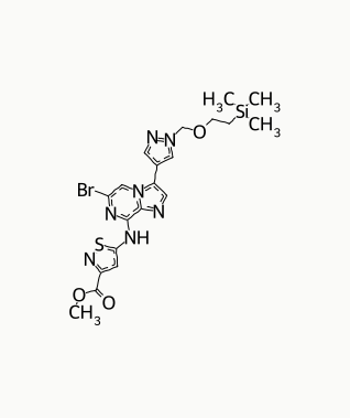 COC(=O)c1cc(Nc2nc(Br)cn3c(-c4cnn(COCC[Si](C)(C)C)c4)cnc23)sn1